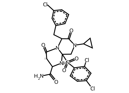 NC(=O)C1[C]C(=O)N2C(Cc3cccc(Cl)c3)C(=O)N(C3CC3)CC2(S(=O)(=O)c2ccc(Cl)cc2Cl)N1